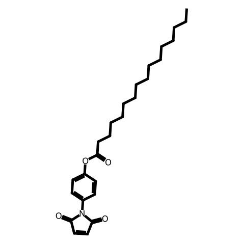 CCCCCCCCCCCCCCCC(=O)Oc1ccc(N2C(=O)C=CC2=O)cc1